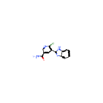 NC(=O)c1cnc(Cl)c(-c2nc3ccccc3[nH]2)c1